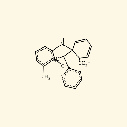 Cc1cccc(NC2(C(C)c3ccccn3)C=CC=CC2C(=O)O)c1C